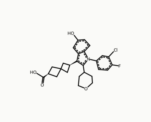 O=C(O)[C@H]1CC2(C1)C[C@H](c1c(C3CCOCC3)n(-c3ccc(F)c(Cl)c3)c3ccc(O)cc31)C2